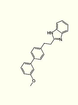 COc1cccc(-c2ccc(CCc3nc4ccccc4[nH]3)cc2)c1